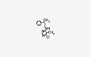 Cc1c(Cl)ncnc1NCCC(C)c1ccccc1